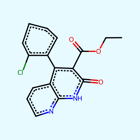 CCOC(=O)c1c(-c2ccccc2Cl)c2cccnc2[nH]c1=O